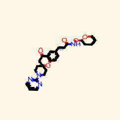 O=C(/C=C/c1ccc2c(c1)C(=O)CC1(CCN(c3ncccn3)CC1)O2)NOC1CCCCO1